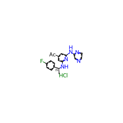 CC(=O)c1cc(Nc2cnccn2)nc(N[C@@H](C)c2ccc(F)cc2)c1.Cl